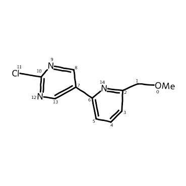 COCc1cccc(-c2cnc(Cl)nc2)n1